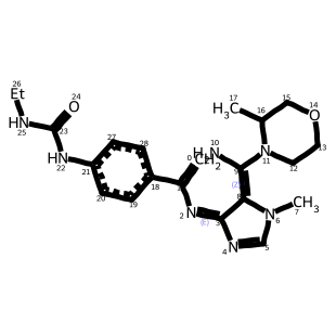 C=C(/N=C1/N=CN(C)/C1=C(/N)N1CCOCC1C)c1ccc(NC(=O)NCC)cc1